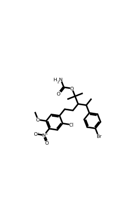 COc1cc(CCC(C(C)c2ccc(Br)cc2)C(C)(C)OC(N)=O)c(Cl)cc1[N+](=O)[O-]